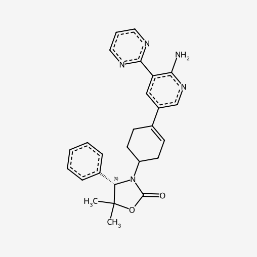 CC1(C)OC(=O)N(C2CC=C(c3cnc(N)c(-c4ncccn4)c3)CC2)[C@H]1c1ccccc1